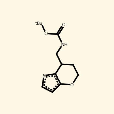 CC(C)(C)OC(=O)NCC1CCOc2ccsc21